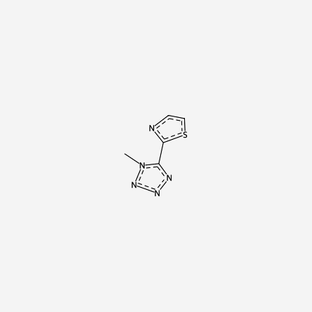 Cn1nnnc1-c1nccs1